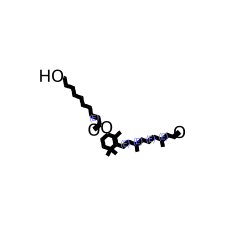 CC1=C(/C=C/C(C)=C/C=C/C(C)=C/C=O)C(C)(C)CCC1OC(=O)/C=C/CCCCCCCO